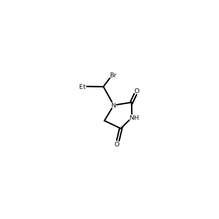 CCC(Br)N1CC(=O)NC1=O